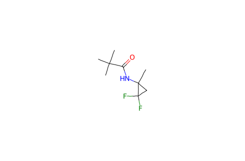 CC(C)(C)C(=O)NC1(C)CC1(F)F